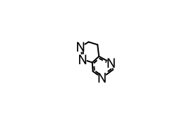 c1ncc2c(n1)CCN=N2